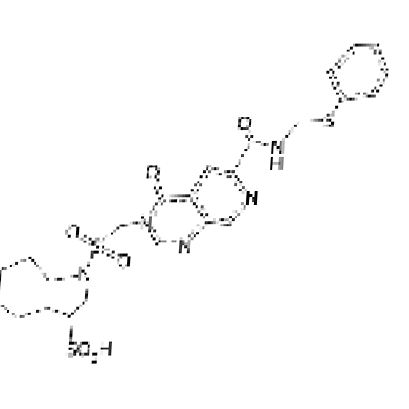 O=C(NCSc1ccccc1)c1cc2c(=O)n(CS(=O)(=O)N3CC(S(=O)(=O)O)C4CCCCC43)cnc2cn1